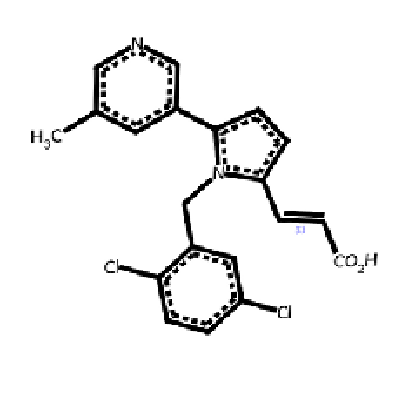 Cc1cncc(-c2ccc(/C=C/C(=O)O)n2Cc2cc(Cl)ccc2Cl)c1